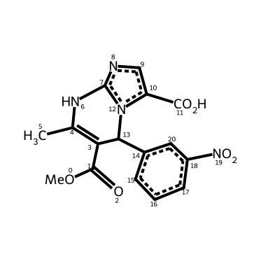 COC(=O)C1=C(C)Nc2ncc(C(=O)O)n2C1c1cccc([N+](=O)[O-])c1